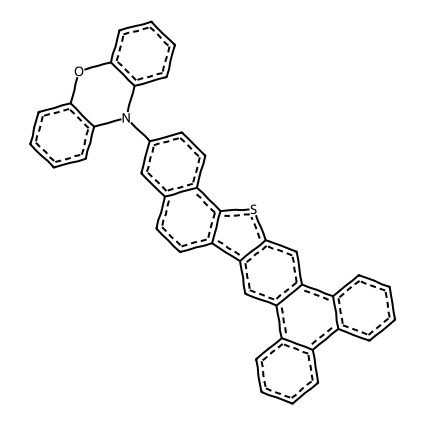 c1ccc2c(c1)Oc1ccccc1N2c1ccc2c(ccc3c4cc5c6ccccc6c6ccccc6c5cc4sc23)c1